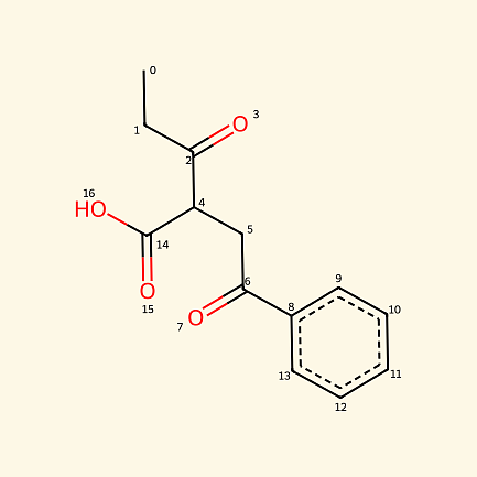 CCC(=O)C(CC(=O)c1ccccc1)C(=O)O